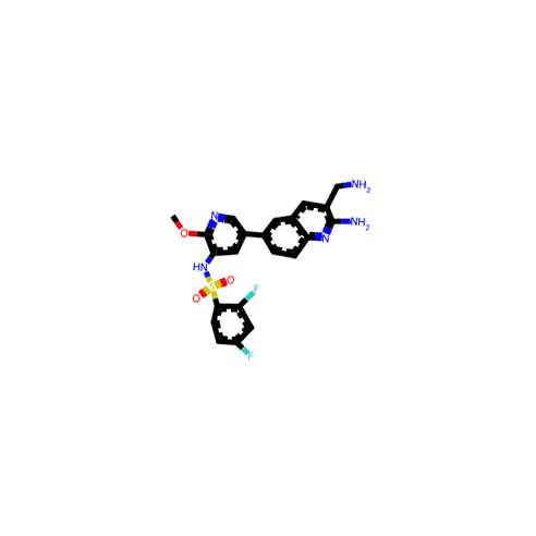 COc1ncc(-c2ccc3nc(N)c(CN)cc3c2)cc1NS(=O)(=O)c1ccc(F)cc1F